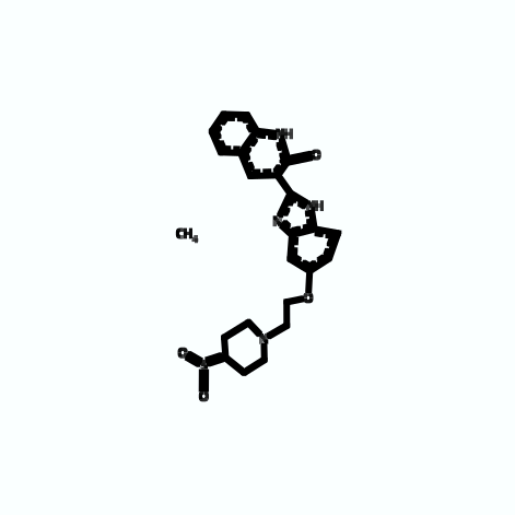 C.O=c1[nH]c2ccccc2cc1-c1nc2cc(OCCN3CCC(=S(=O)=O)CC3)ccc2[nH]1